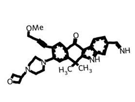 COCC#Cc1cc2c(cc1N1CCN(C3COC3)CC1)C(C)(C)c1[nH]c3cc(C=N)ccc3c1C2=O